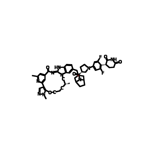 Cc1cc2cc(n1)-c1cnn(C)c1OCCC[C@@H](C)CN1/C(=N/C2=O)Nc2ccc(CN3CC4CCC(C3)N4C(=O)[C@@H]3CCN(c4cc(F)c([C@H]5CCC(=O)NC5=O)c(F)c4)C3)cc21